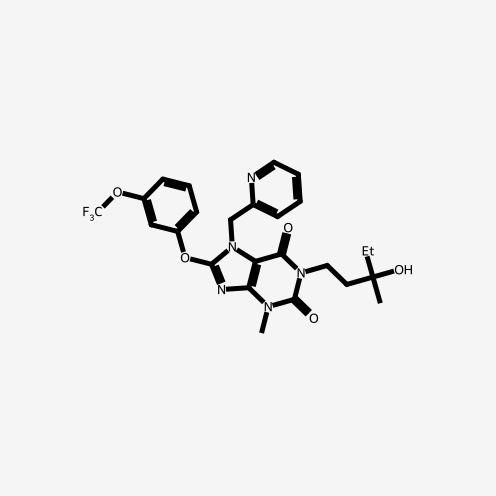 CCC(C)(O)CCn1c(=O)c2c(nc(Oc3cccc(OC(F)(F)F)c3)n2Cc2ccccn2)n(C)c1=O